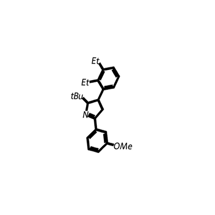 CCc1cccc(C2CC(c3cccc(OC)c3)=NC2C(C)(C)C)c1CC